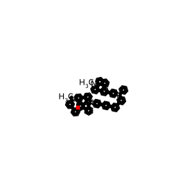 CN(c1ccc(-c2cccc3c2c2c4ccccc4c4ccccc4c2n3-c2ccc(-c3ccc(-c4cccc(-c5cccc(N(c6ccccc6)c6ccc(-c7ccc(-c8cccc9c8c8c%10ccccc%10ccc8n9C)cc7)cc6)c5)c4)cc3)cc2)cc1)c1cccc(-c2ccccc2)c1